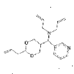 C=CCC1OCC(C(c2cccnc2)N(CC=C)CC=C)CO1